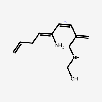 C=CCC=C(N)/C=C\C(=C)CNCO